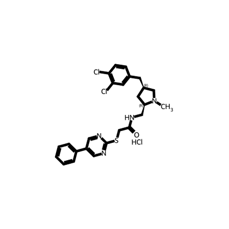 CN1C[C@H](Cc2ccc(Cl)c(Cl)c2)C[C@@H]1CNC(=O)CSc1ncc(-c2ccccc2)cn1.Cl